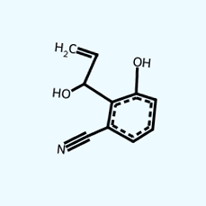 C=CC(O)c1c(O)cccc1C#N